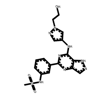 CS(=O)(=O)Nc1cccc(-c2nc(Nc3cnn(CCO)c3)c3[nH]ncc3n2)c1